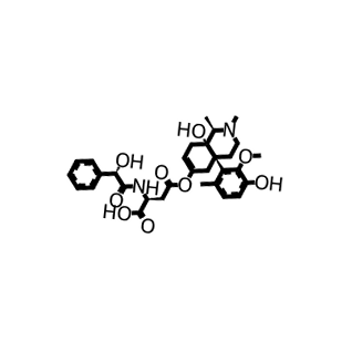 COc1c(O)ccc(C)c1[C@]12CCN(C)[C@H](C)[C@]1(O)CC=C(OC(=O)C[C@H](NC(=O)[C@@H](O)c1ccccc1)C(=O)O)C2